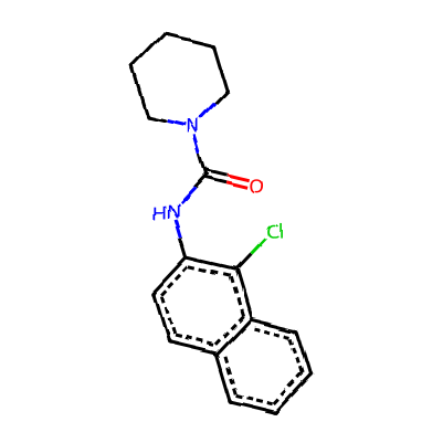 O=C(Nc1ccc2ccccc2c1Cl)N1CCCCC1